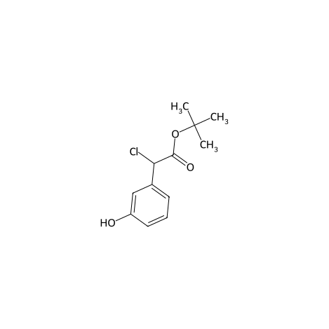 CC(C)(C)OC(=O)C(Cl)c1cccc(O)c1